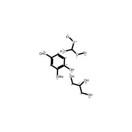 CCOC(C)OCC.COc1cc(C=O)ccc1O.OCC(O)CO